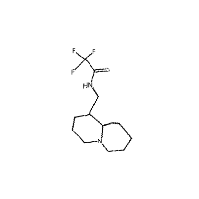 O=C(NCC1CCCN2CCCCC12)C(F)(F)F